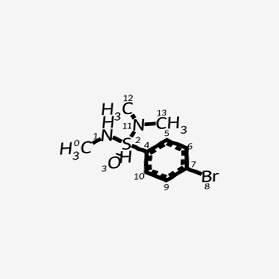 CN[SH](=O)(c1ccc(Br)cc1)N(C)C